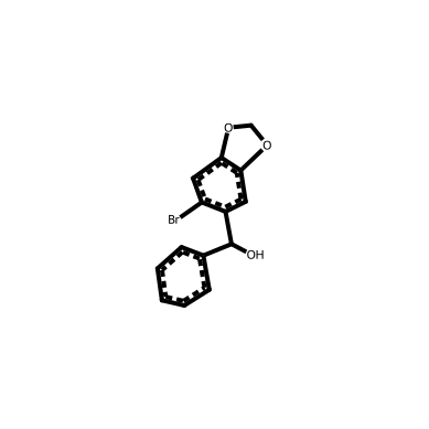 OC(c1ccccc1)c1cc2c(cc1Br)OCO2